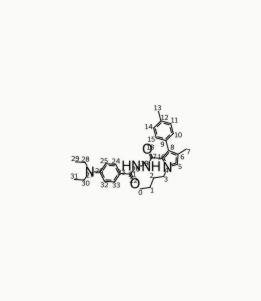 CCCCn1cc(C)c(-c2ccc(C)cc2)c1C(=O)NNC(=O)c1ccc(N(CC)CC)cc1